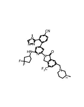 C[C@H]1CCCN(Cc2cc3c(c(C(F)(F)F)c2)CN(c2cc(-c4ccc(C#N)cc4-c4nncn4C)cc(NC4CCC(F)(F)C4)n2)C3=O)C1